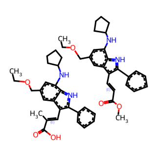 CCOCc1cc(NC2CCCC2)c2[nH]c(-c3ccccc3)c(/C=C(\C)C(=O)O)c2c1.CCOCc1cc(NC2CCCC2)c2[nH]c(-c3ccccc3)c(/C=C/C(=O)OC)c2c1